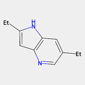 CCc1cnc2cc(CC)[nH]c2c1